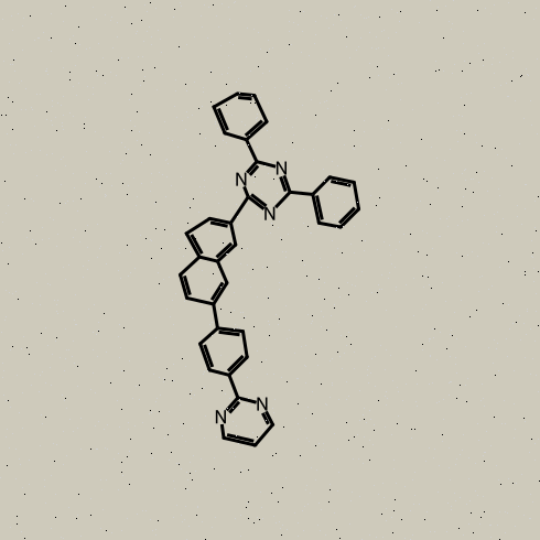 c1ccc(-c2nc(-c3ccccc3)nc(-c3ccc4ccc(-c5ccc(-c6ncccn6)cc5)cc4c3)n2)cc1